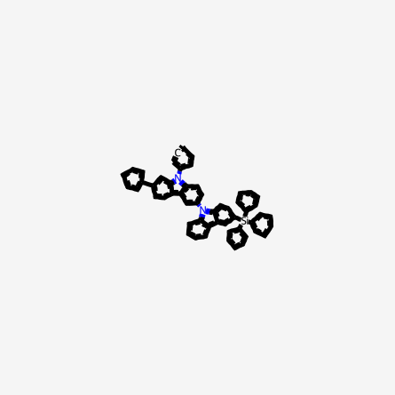 c1ccc(-c2ccc3c4cc(-n5c6ccccc6c6cc([Si](c7ccccc7)(c7ccccc7)c7ccccc7)ccc65)ccc4n(-c4ccccc4)c3c2)cc1